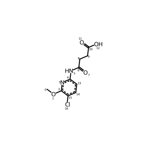 COc1nc(NC(=O)CCC(=O)O)ccc1Cl